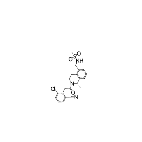 C[C@H]1c2cccc(CNS(C)(=O)=O)c2CCN1C(=O)Cc1c(Cl)cccc1C#N